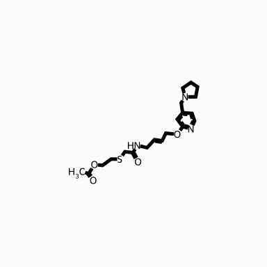 CC(=O)OCCSCC(=O)NCC=CCOc1cc(CN2CCCC2)ccn1